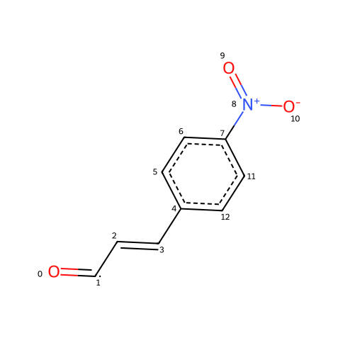 O=[C]C=Cc1ccc([N+](=O)[O-])cc1